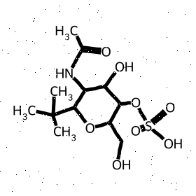 CC(=O)NC1C(O)C(OS(=O)(=O)O)C(CO)OC1C(C)(C)C